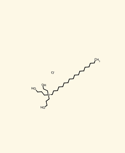 CCCCCCCCCCCCCCCCCC[N+](CCO)(CCCO)CCCO.[Cl-]